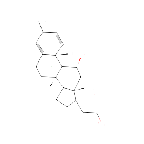 CC1C=C[C@@]2(C)C(=C1)CC[C@H]1[C@@H]3CC[C@]([16OH])(CC[16OH])[C@@]3(C)C[C@H]([16OH])[C@@]12F